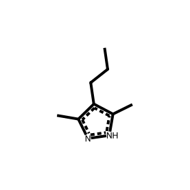 CCCc1c(C)n[nH]c1C